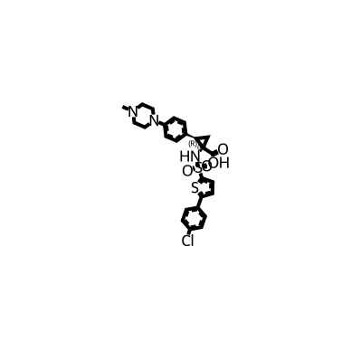 CN1CCN(c2ccc([C@H]3C[C@]3(NS(=O)(=O)c3ccc(-c4ccc(Cl)cc4)s3)C(=O)O)cc2)CC1